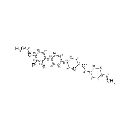 C=CC1CCC(COC2CCC(c3ccc(-c4ccc(OCC)c(F)c4F)cc3)CO2)CC1